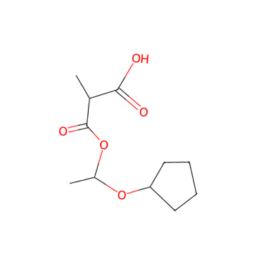 CC(OC(=O)C(C)C(=O)O)OC1CCCC1